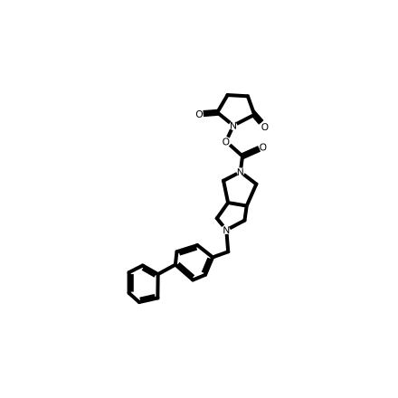 O=C(ON1C(=O)CCC1=O)N1CC2CN(Cc3ccc(-c4ccccc4)cc3)CC2C1